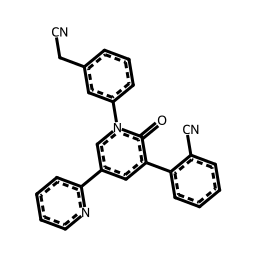 N#CCc1cccc(-n2cc(-c3ccccn3)cc(-c3ccccc3C#N)c2=O)c1